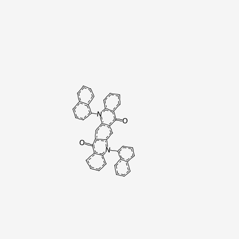 O=c1c2ccccc2n(-c2cccc3ccccc23)c2cc3c(=O)c4ccccc4n(-c4cccc5ccccc45)c3cc12